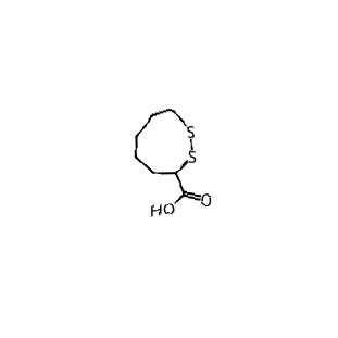 O=C(O)C1CCCCCSS1